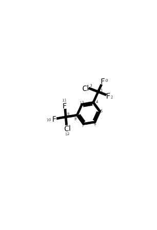 FC(F)(Cl)c1cccc(C(F)(F)Cl)c1